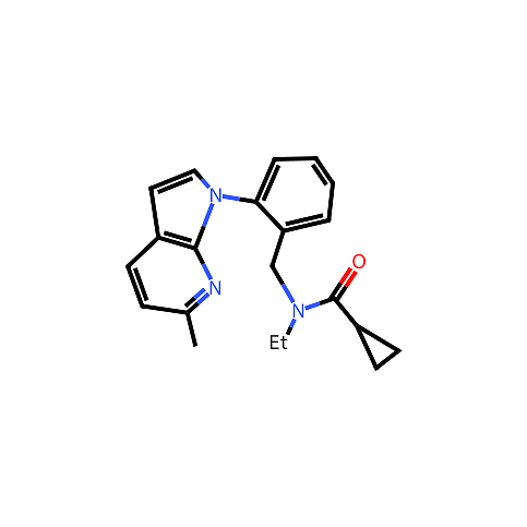 CCN(Cc1ccccc1-n1ccc2ccc(C)nc21)C(=O)C1CC1